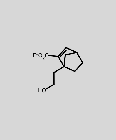 CCOC(=O)C1=CC2CCC1(CCO)C2